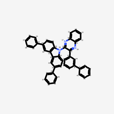 c1ccc(-c2cccc(-c3nc4ccccc4nc3-n3c4ccc(-c5ccccc5)cc4c4cc(-c5ccccc5)ccc43)c2)cc1